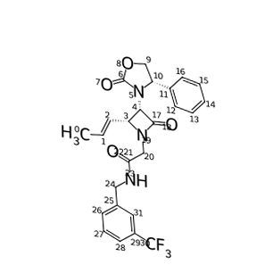 CC=C[C@@H]1[C@H](N2C(=O)OC[C@@H]2c2ccccc2)C(=O)N1CC(=O)NCc1cccc(C(F)(F)F)c1